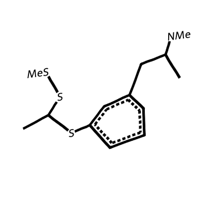 CNC(C)Cc1cccc(SC(C)SSC)c1